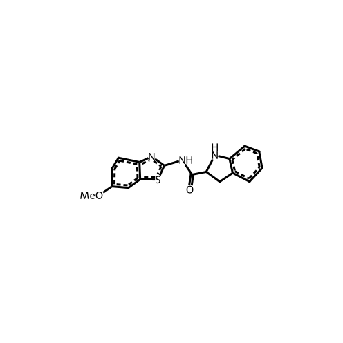 COc1ccc2nc(NC(=O)C3Cc4ccccc4N3)sc2c1